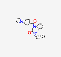 O=CCN1Cc2ccccc2N(C(=O)c2ccc(N3CCCC3)cc2)CC1=O